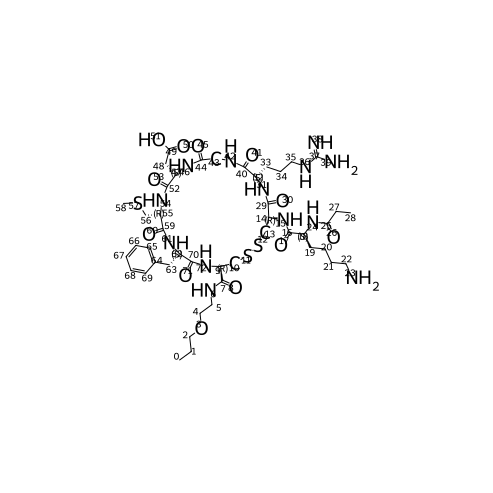 CCCOCCNC(=O)[C@@H]1CSSC[C@H](NC(=O)[C@H](CCCCN)NC(=O)CC)C(=O)N[C@@H](CCCNC(=N)N)C(=O)NCC(=O)N[C@@H](CC(=O)O)C(=O)N[C@@H](CSC)C(=O)N[C@@H](Cc2ccccc2)C(=O)N1